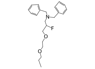 CCCOCCOCC(F)CN(Cc1ccccc1)Cc1ccccc1